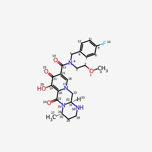 COCCN(Cc1ccc(F)cc1)C(=O)c1cn2c(c(O)c1=O)C(=O)N1[C@@H](C)CCN[C@@H]1C2